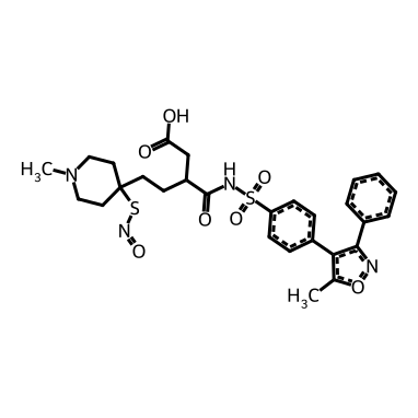 Cc1onc(-c2ccccc2)c1-c1ccc(S(=O)(=O)NC(=O)C(CCC2(SN=O)CCN(C)CC2)CC(=O)O)cc1